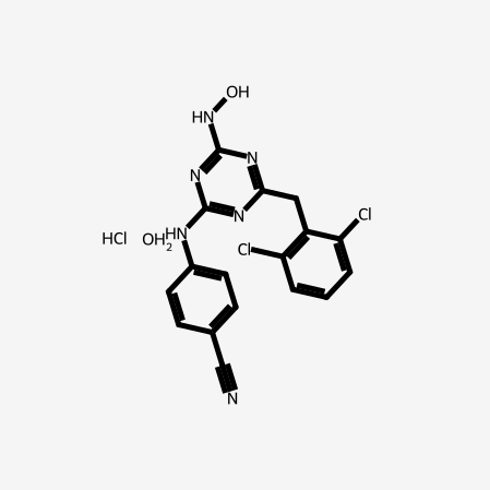 Cl.N#Cc1ccc(Nc2nc(Cc3c(Cl)cccc3Cl)nc(NO)n2)cc1.O